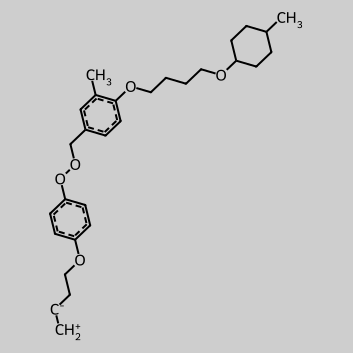 [CH2+][CH-]CCOc1ccc(OOCc2ccc(OCCCCOC3CCC(C)CC3)c(C)c2)cc1